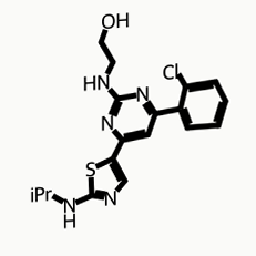 CC(C)Nc1ncc(-c2cc(-c3ccccc3Cl)nc(NCCO)n2)s1